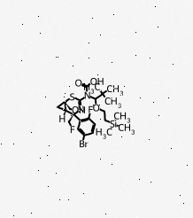 CC(C)(C)C(OCC[Si](C)(C)C)N(C(=O)O)C1=N[C@](CF)(c2cc(Br)ccc2F)[C@@H]2C[C@]2(CO)S1